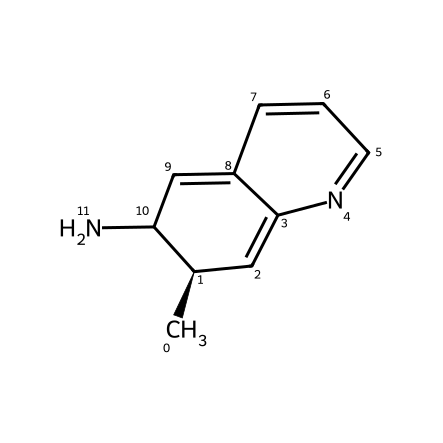 C[C@@H]1C=c2ncccc2=CC1N